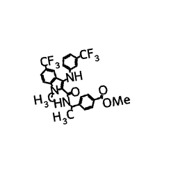 COC(=O)c1ccc(C(C)NC(=O)c2c(Nc3cccc(C(F)(F)F)c3)c3cc(C(F)(F)F)ccc3n2C)cc1